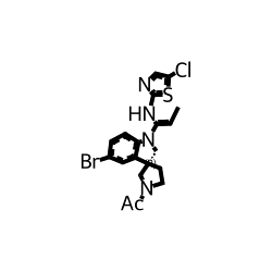 CC=C(Nc1ncc(Cl)s1)N1C[C@@]2(CCN(C(C)=O)C2)c2cc(Br)ccc21